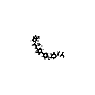 CC(C)OC(=O)N1CCC(Oc2ccc(-c3ccc(CC(N)C(=O)N4CCC(F)(F)C4)c(F)c3)cc2)CC1